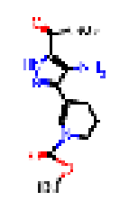 COC(=O)c1[nH]nc(C2=CN(C(=O)OC(C)(C)C)CCC2)c1N